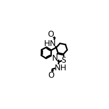 O=CNc1nc2c(s1)CCCC2(NC=O)c1ccccc1